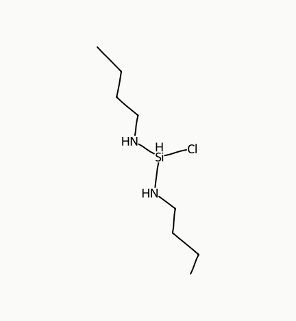 CCCCN[SiH](Cl)NCCCC